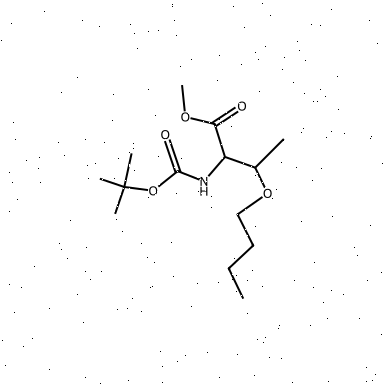 CCCCOC(C)C(NC(=O)OC(C)(C)C)C(=O)OC